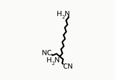 N#CCCC(N)(CCC#N)CCCCCCCCCCCN